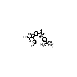 CC(C)(C)c1ccc(S(=O)(=O)Nc2ccc3[nH]c(C(=O)O)c(-c4ccc(Cl)s4)c3c2)cc1